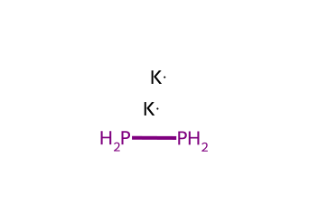 PP.[K].[K]